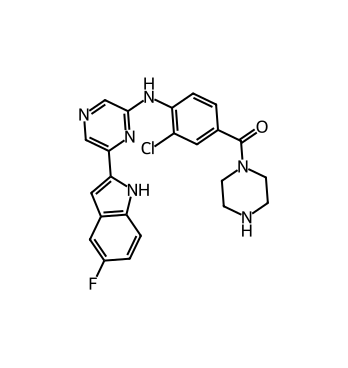 O=C(c1ccc(Nc2cncc(-c3cc4cc(F)ccc4[nH]3)n2)c(Cl)c1)N1CCNCC1